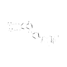 CCN(CC)CCCN(C(=O)O)c1ccc(Oc2ccnc3cc(OC)c(OC)cc23)cc1